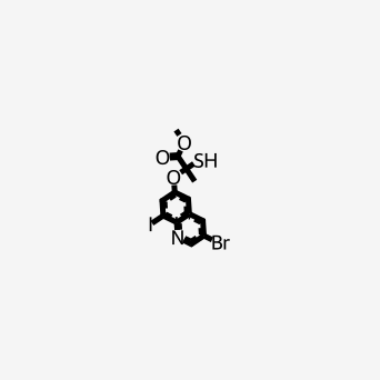 COC(=O)C(C)(S)Oc1cc(I)c2ncc(Br)cc2c1